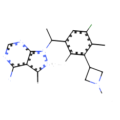 COc1c(C(C)n2nc(C=O)c3c(N)ncnc32)cc(Cl)c(C)c1C1CN(C(=O)O)C1